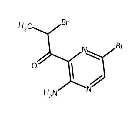 CC(Br)C(=O)c1nc(Br)cnc1N